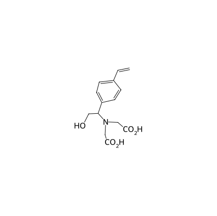 C=Cc1ccc(C(CO)N(CC(=O)O)CC(=O)O)cc1